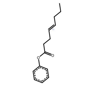 CCC/C=C/CCC(=O)Oc1ccccc1